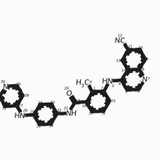 Cc1c(Nc2ccnc3ccc(C#N)cc23)cccc1C(=O)Nc1ccc(Nc2ccncc2)cc1